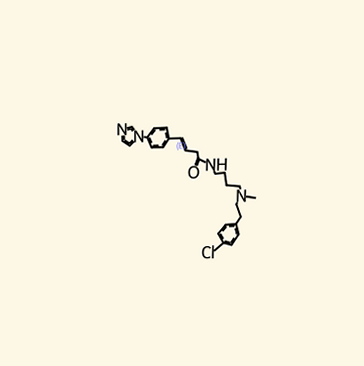 CN(CCCCNC(=O)C/C=C/c1ccc(-n2ccnc2)cc1)CCc1ccc(Cl)cc1